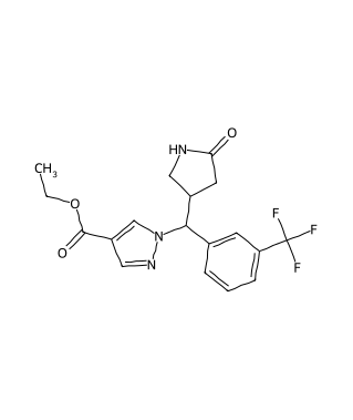 CCOC(=O)c1cnn(C(c2cccc(C(F)(F)F)c2)C2CNC(=O)C2)c1